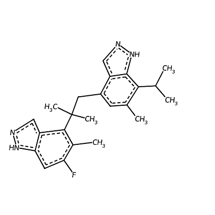 Cc1cc(CC(C)(C)c2c(C)c(F)cc3[nH]ncc23)c2cn[nH]c2c1C(C)C